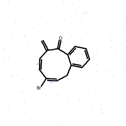 C=C1/C=C\C(Br)=C/Cc2ccccc2C1=O